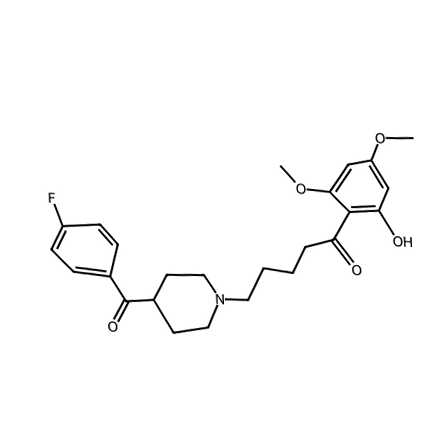 COc1cc(O)c(C(=O)CCCCN2CCC(C(=O)c3ccc(F)cc3)CC2)c(OC)c1